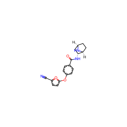 N#Cc1ccc(Oc2ccc(C(=O)N[C@@H]3C[C@H]4CC[C@@H]3N4)cc2)o1